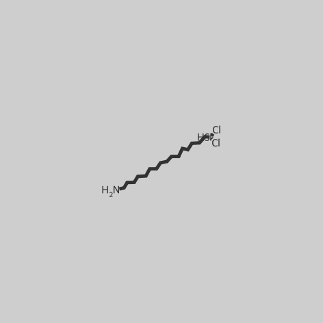 NCCCCCCCCCCCCCCCC[SiH](Cl)Cl